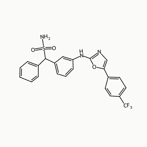 NS(=O)(=O)C(c1ccccc1)c1cccc(Nc2ncc(-c3ccc(C(F)(F)F)cc3)o2)c1